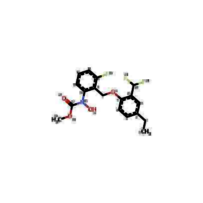 CCc1ccc(OCc2c(F)cccc2N(O)C(=O)OC)c(C(F)F)c1